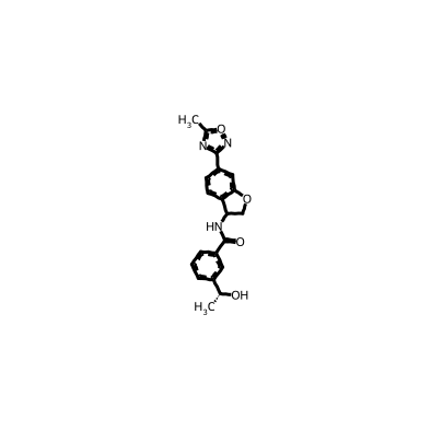 Cc1nc(-c2ccc3c(c2)OCC3NC(=O)c2cccc([C@@H](C)O)c2)no1